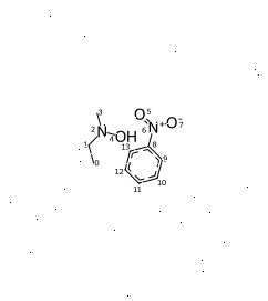 CCN(C)O.O=[N+]([O-])c1ccccc1